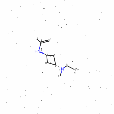 C=C(C)N[C@H]1C[C@H](N(C)CC(C)C)C1